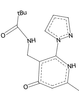 Cc1cc(=O)c(CNC(=O)C(C)(C)C)c(-n2cccn2)[nH]1